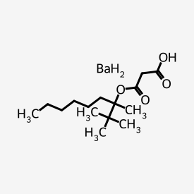 CCCCCCC(C)(OC(=O)CC(=O)O)C(C)(C)C.[BaH2]